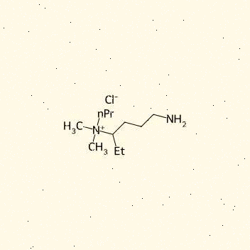 CCC[N+](C)(C)C(CC)CCCN.[Cl-]